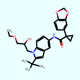 CCOCC(O)Cn1c(C(C)(C)C)cc2cc(NC(=O)C3(c4ccc5c(c4)OCO5)CC3)ccc21